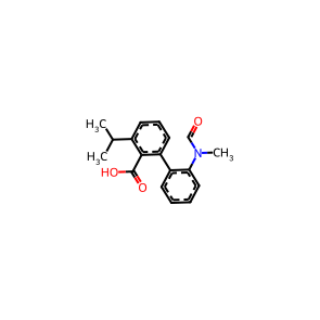 CC(C)c1cccc(-c2ccccc2N(C)C=O)c1C(=O)O